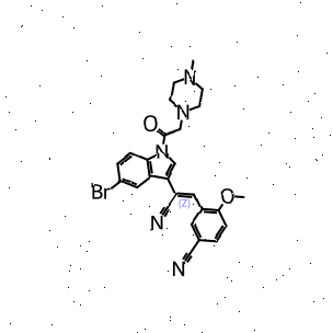 COc1ccc(C#N)cc1/C=C(\C#N)c1cn(C(=O)CN2CCN(C)CC2)c2ccc(Br)cc12